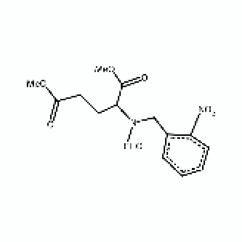 COC(=O)CCC(C(=O)OC)N(C=O)Cc1ccccc1[N+](=O)[O-]